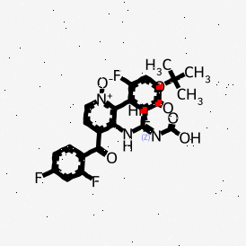 CC(C)(C)OC(=O)N/C(=N\C(=O)O)Nc1c(C(=O)c2ccc(F)cc2F)cc[n+]([O-])c1-c1c(F)cccc1F